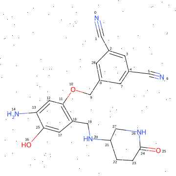 N#Cc1cc(C#N)cc(COc2cc(N)c(O)cc2CNC2CCC(=O)NC2)c1